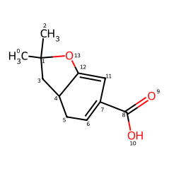 CC1(C)CC2CC=C(C(=O)O)C=C2O1